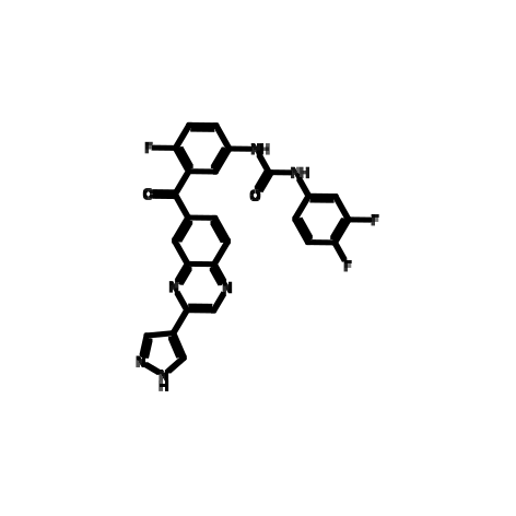 O=C(Nc1ccc(F)c(F)c1)Nc1ccc(F)c(C(=O)c2ccc3ncc(-c4cn[nH]c4)nc3c2)c1